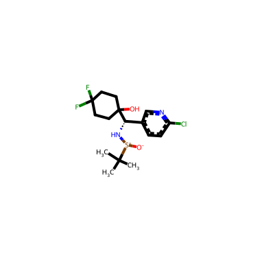 CC(C)(C)[S+]([O-])N[C@@H](c1ccc(Cl)nc1)C1(O)CCC(F)(F)CC1